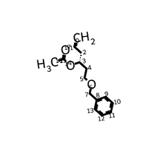 C=CC[C@H](CCOCc1ccccc1)OC(C)=O